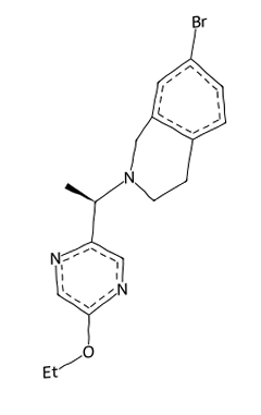 CCOc1cnc([C@@H](C)N2CCc3ccc(Br)cc3C2)cn1